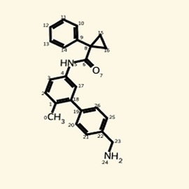 Cc1ccc(NC(=O)C2(c3ccccc3)CC2)cc1-c1ccc(CN)cc1